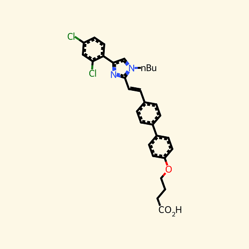 CCCCn1cc(-c2ccc(Cl)cc2Cl)nc1/C=C/c1ccc(-c2ccc(OCCCC(=O)O)cc2)cc1